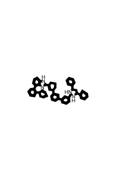 C1=CCC2C(=C1)N1c3c(cccc3-c3ccccc32)NC1C1=CC(c2cccc(-c3cccc(C4NC(c5ccccc5)CC(c5ccccc5)N4)c3)c2)CCC1